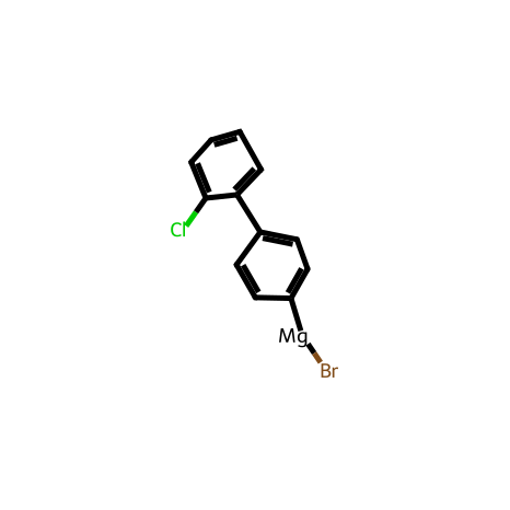 Clc1ccccc1-c1cc[c]([Mg][Br])cc1